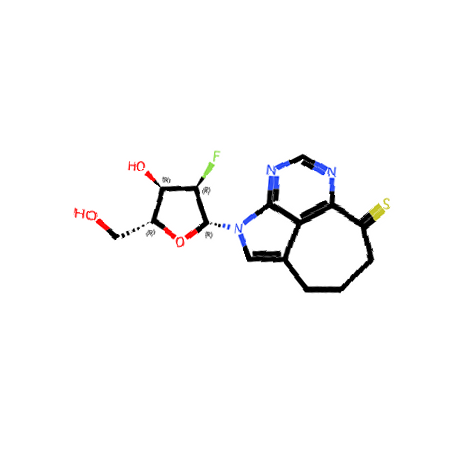 OC[C@H]1O[C@@H](n2cc3c4c(ncnc42)C(=S)CCC3)[C@H](F)[C@@H]1O